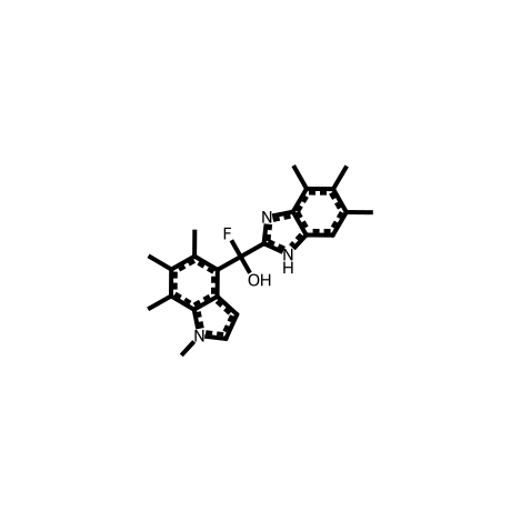 Cc1cc2[nH]c(C(O)(F)c3c(C)c(C)c(C)c4c3ccn4C)nc2c(C)c1C